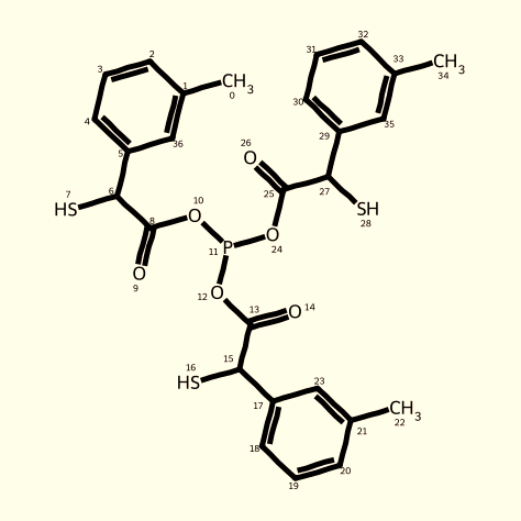 Cc1cccc(C(S)C(=O)OP(OC(=O)C(S)c2cccc(C)c2)OC(=O)C(S)c2cccc(C)c2)c1